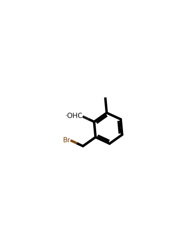 Cc1cccc(CBr)c1[C]=O